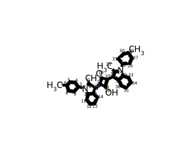 CC1=[N+](c2ccc(C)cc2)c2ccccc2/C1=C1/C(=O)C(c2c(C)n(-c3ccc(C)cc3)c3ccccc23)=C1O